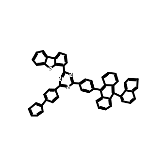 c1ccc(-c2ccc(-c3nc(-c4ccc(-c5c6ccccc6c(-c6cccc7ccccc67)c6ccccc56)cc4)nc(-c4cccc5c4sc4ccccc45)n3)cc2)cc1